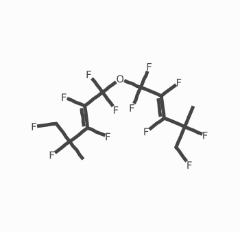 CC(F)(CF)C(F)=C(F)C(F)(F)OC(F)(F)C(F)=C(F)C(C)(F)CF